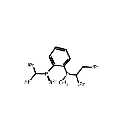 CCC(C(C)C)P(c1ccccc1P(C)C(CC(C)C)C(C)C)C(C)C